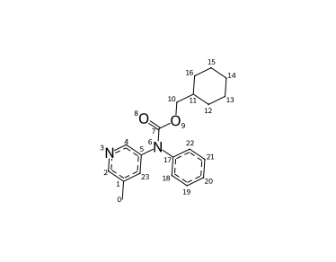 Cc1cncc(N(C(=O)OCC2CCCCC2)c2ccccc2)c1